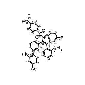 CC(=O)c1ccc(-c2cccc(-c3c(-c4c(C)cccc4C)c4cc(F)ccc4n3S(=O)(=O)c3ccc(C(F)F)cc3)c2)c(Cl)c1